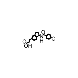 COc1ccc(C(=O)NC2CCc3cc(/C=C/C(=O)O)ccc32)cc1